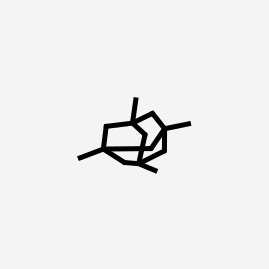 CC12CC3(C)CC(C)(C1)CC(C)(C2)C3